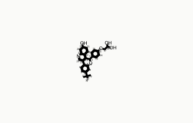 CC(C)(F)c1ccc2c(c1)OC(c1ccc(OCC(O)O)cc1)c1c-2cnc2cc(O)ccc12